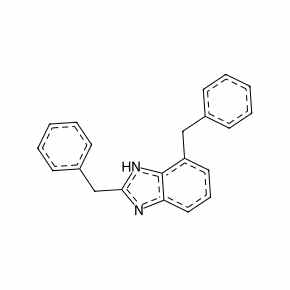 c1ccc(Cc2nc3cccc(Cc4ccccc4)c3[nH]2)cc1